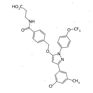 Cc1cc(Cl)cc(-c2cc(OCc3ccc(C(=O)NCCC(=O)O)cc3)n(-c3ccc(OC(F)(F)F)cc3)n2)c1